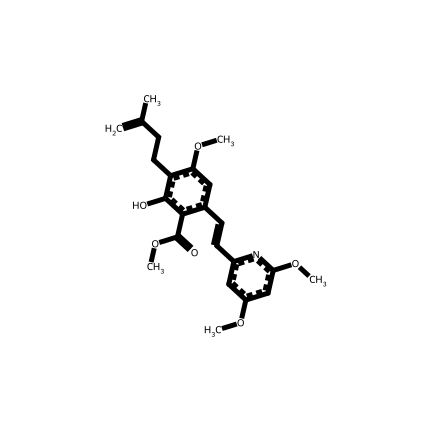 C=C(C)CCc1c(OC)cc(C=Cc2cc(OC)cc(OC)n2)c(C(=O)OC)c1O